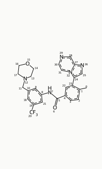 Cc1ccc(C(=O)Nc2cc(CN3CCOCC3)cc(C(F)(F)F)c2)cc1-c1cnc2cnccn12